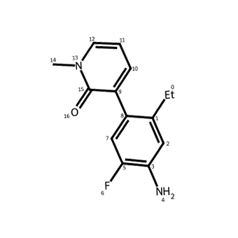 CCc1cc(N)c(F)cc1-c1cccn(C)c1=O